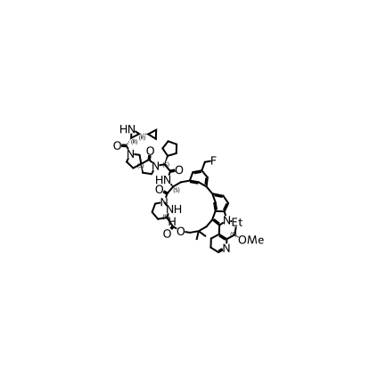 CCn1c(C2=C([C@H](C)OC)N=CCC2)c2c3cc(ccc31)-c1cc(CF)cc(c1)C[C@H](NC(=O)[C@H](C1CCCC1)N1CC[C@]3(CCN(C(=O)[C@@H]4N[C@@H]4C4CC4)C3)C1=O)C(=O)N1CCC[C@H](N1)C(=O)OCC(C)(C)C2